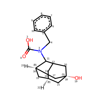 O=C(O)N(Cc1ccccc1)C1C2C[C@@H]3C[C@@H]1C[C@@](O)(C2)C3